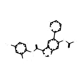 CCC(=O)Nc1cc2onc(C(=O)Nc3ccc(C#N)cc3C(=O)O)c2cc1-c1ccccn1